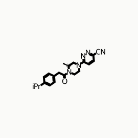 CC(C)c1ccc(CC(=O)N2CCN(c3ccc(C#N)nn3)C[C@@H]2C)cc1